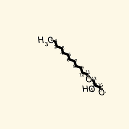 CCCCCCCCCCCCOCC(O)C[O]